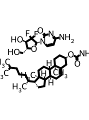 CC(C)CCC[C@@H](C)[C@H]1CC[C@H]2[C@@H]3CC=C4C[C@@H](OC(N)=O)CC[C@]4(C)[C@H]3CC[C@]12C.Nc1ccn([C@@H]2O[C@H](CO)[C@@H](O)C2(F)F)c(=O)n1